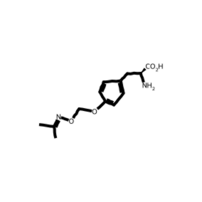 CC(C)=NOCOc1ccc(C[C@H](N)C(=O)O)cc1